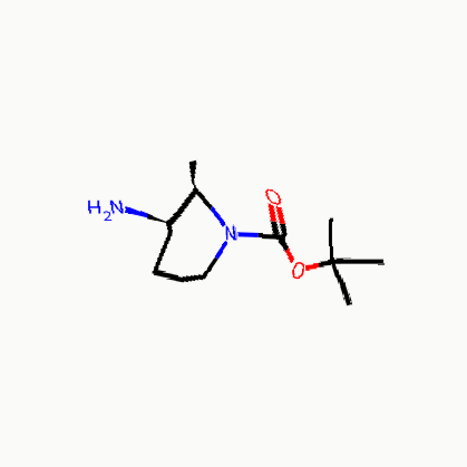 C[C@@H]1[C@H](N)CCN1C(=O)OC(C)(C)C